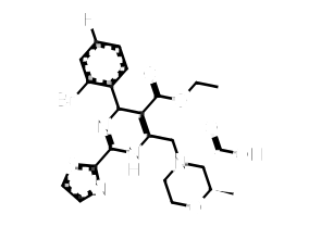 CCOC(=O)C1=C(CN2CCO[C@H](C)[C@H]2C(=O)O)NC(c2nccs2)=NC1c1ccc(F)cc1Br